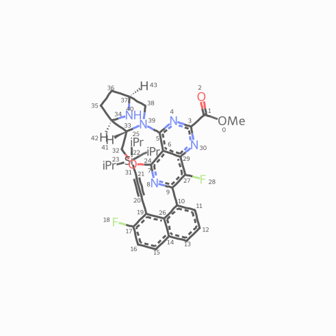 COC(=O)c1nc2c3c(nc(-c4cccc5ccc(F)c(C#C[Si](C(C)C)(C(C)C)C(C)C)c45)c(F)c3n1)OC[C@@H]1[C@H]3CC[C@@H](CN21)N3